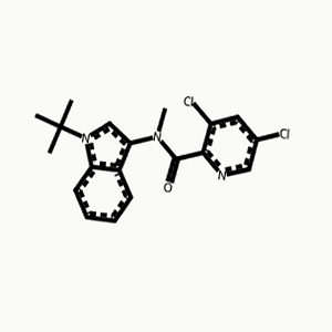 CN(C(=O)c1ncc(Cl)cc1Cl)c1cn(C(C)(C)C)c2ccccc12